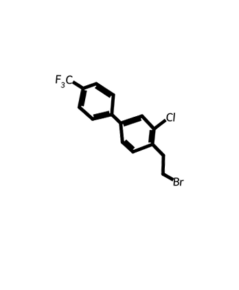 FC(F)(F)c1ccc(-c2ccc(CCBr)c(Cl)c2)cc1